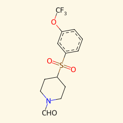 O=CN1CCC(S(=O)(=O)c2cccc(OC(F)(F)F)c2)CC1